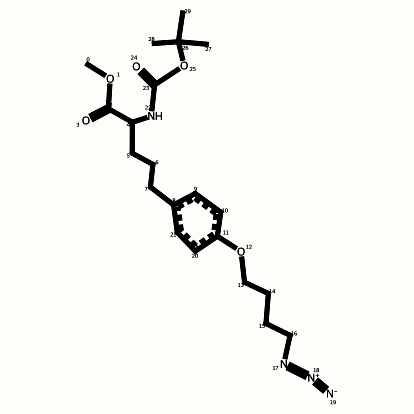 COC(=O)C(CCCc1ccc(OCCCCN=[N+]=[N-])cc1)NC(=O)OC(C)(C)C